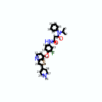 CC(C)N(C(=O)CC(=O)Nc1ccc(Oc2ccnc3cc(C4=CCN(C)CC4)sc23)c(F)c1)c1ccccc1